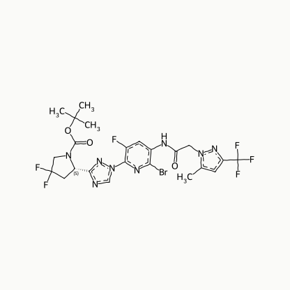 Cc1cc(C(F)(F)F)nn1CC(=O)Nc1cc(F)c(-n2cnc([C@@H]3CC(F)(F)CN3C(=O)OC(C)(C)C)n2)nc1Br